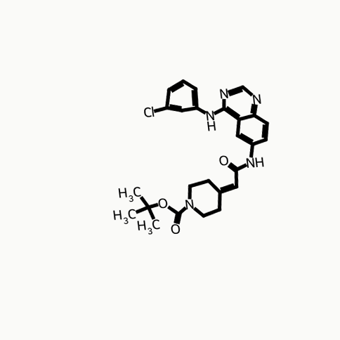 CC(C)(C)OC(=O)N1CCC(=CC(=O)Nc2ccc3ncnc(Nc4cccc(Cl)c4)c3c2)CC1